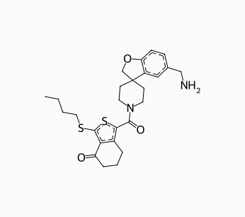 CCCCSc1sc(C(=O)N2CCC3(CC2)COc2ccc(CN)cc23)c2c1C(=O)CCC2